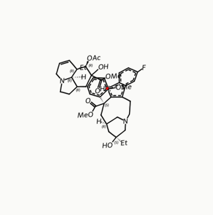 CC[C@]1(O)C[C@@H]2CN(CCc3c([nH]c4ccc(F)cc34)[C@@](C(=O)OC)(c3cc([C@]45CCN6CC=C[C@](CC)([C@H]64)[C@@H](OC(C)=O)C(O)(C(=O)OC)C5)ccc3OC)C2)C1